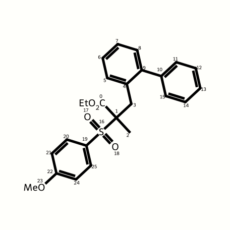 CCOC(=O)C(C)(Cc1ccccc1-c1ccccc1)S(=O)(=O)c1ccc(OC)cc1